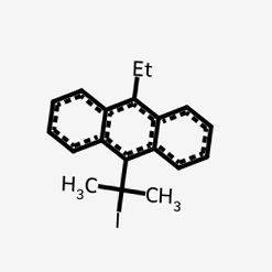 CCc1c2ccccc2c(C(C)(C)I)c2ccccc12